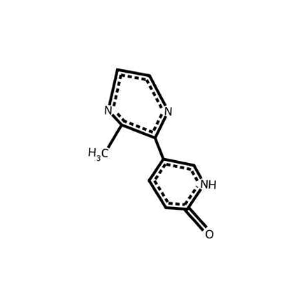 Cc1nccnc1-c1ccc(=O)[nH]c1